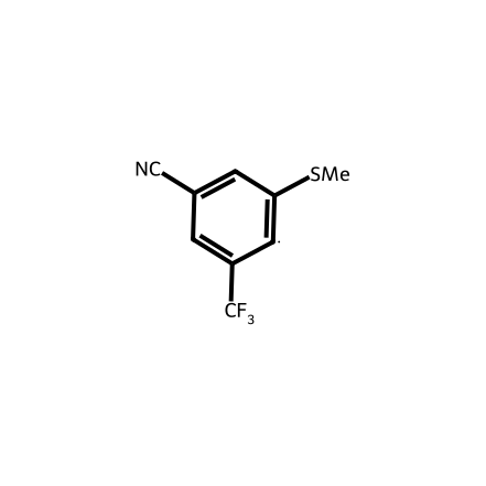 CSc1[c]c(C(F)(F)F)cc(C#N)c1